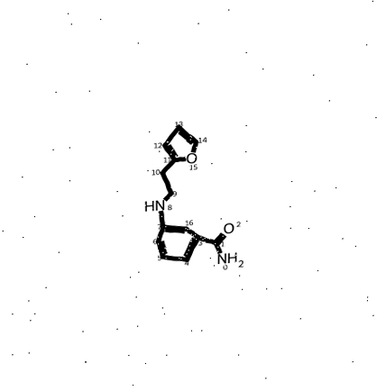 NC(=O)c1cccc(NCCc2ccco2)c1